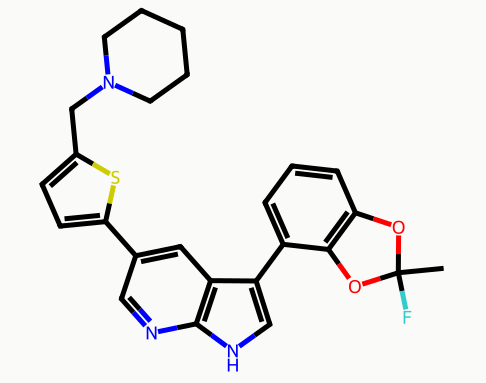 CC1(F)Oc2cccc(-c3c[nH]c4ncc(-c5ccc(CN6CCCCC6)s5)cc34)c2O1